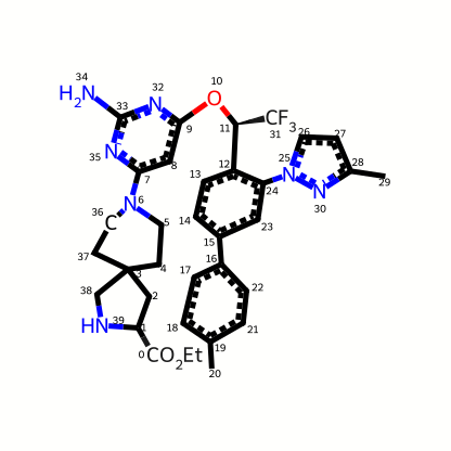 CCOC(=O)C1CC2(CCN(c3cc(O[C@H](c4ccc(-c5ccc(C)cc5)cc4-n4ccc(C)n4)C(F)(F)F)nc(N)n3)CC2)CN1